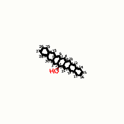 OC1c2cc3c(cc2Cc2cc4cc5ccccc5cc4cc21)Cc1ccccc1C3